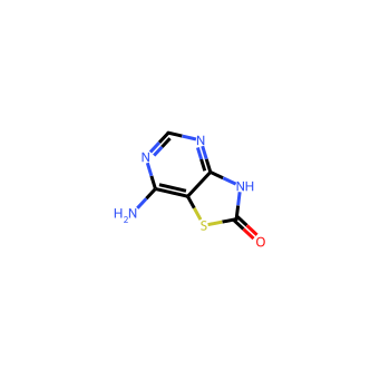 Nc1ncnc2[nH]c(=O)sc12